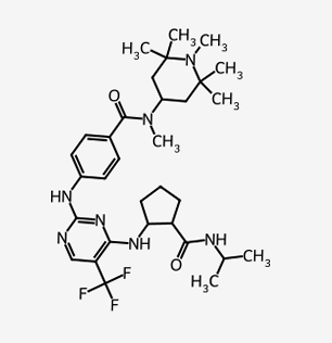 CC(C)NC(=O)C1CCCC1Nc1nc(Nc2ccc(C(=O)N(C)C3CC(C)(C)N(C)C(C)(C)C3)cc2)ncc1C(F)(F)F